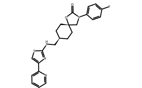 O=C1O[C@]2(CC[C@H](CNc3nc(-c4ccccn4)cs3)CC2)CN1c1ccc(F)cc1